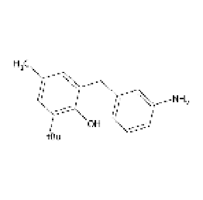 Cc1cc(Cc2cccc(N)c2)c(O)c(C(C)(C)C)c1